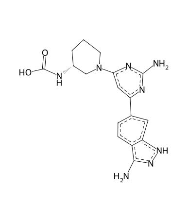 Nc1nc(-c2ccc3c(N)n[nH]c3c2)cc(N2CCC[C@@H](NC(=O)O)C2)n1